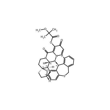 COC(C)(C)C(=O)Oc1c2n(ccc1=O)N([C@@H]1c3ccccc3SCc3cccc(F)c31)[C@@H]1[C@H]3C[C@@H]4CC[C@@]3(CCN1C2=O)O4